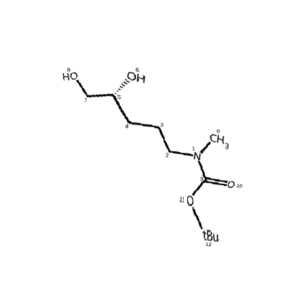 CN(CCC[C@@H](O)CO)C(=O)OC(C)(C)C